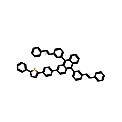 C1=C(c2ccc(-c3ccc4c(-c5cccc(/C=C/c6ccccc6)c5)c5ccccc5c(-c5cccc(/C=C/c6ccccc6)c5)c4c3)cc2)SC(c2ccccc2)C1